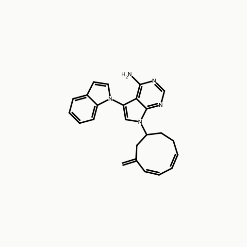 C=C1/C=C\C=C/CCC(n2cc(-n3ccc4ccccc43)c3c(N)ncnc32)C1